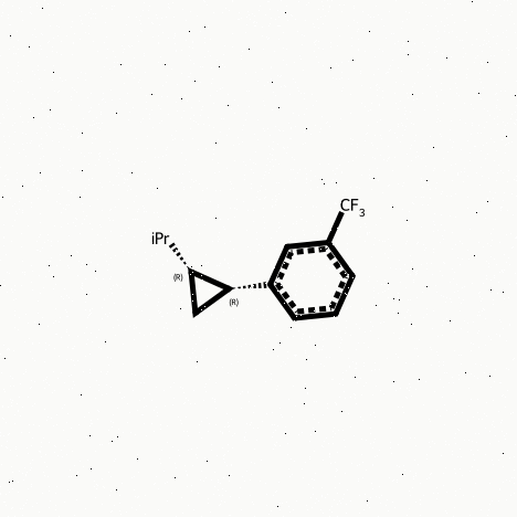 CC(C)[C@H]1C[C@H]1c1cccc(C(F)(F)F)c1